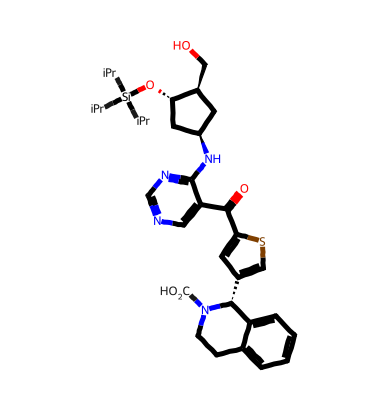 CC(C)[Si](O[C@H]1C[C@H](Nc2ncncc2C(=O)c2cc([C@@H]3c4ccccc4CCN3C(=O)O)cs2)C[C@@H]1CO)(C(C)C)C(C)C